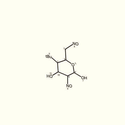 CC(C)(C)C1C(CN=O)OC(O)C(N=O)C1O